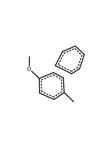 COc1ccc(C)cc1.c1ccccc1